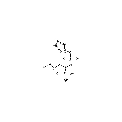 CCCCC(CS(=O)(=O)On1ccnc1)S(=O)(=O)O